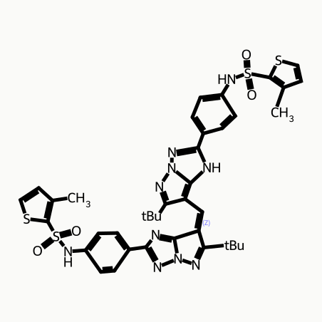 Cc1ccsc1S(=O)(=O)Nc1ccc(-c2nc3/c(=C\c4c(C(C)(C)C)nn5nc(-c6ccc(NS(=O)(=O)c7sccc7C)cc6)[nH]c45)c(C(C)(C)C)nn3n2)cc1